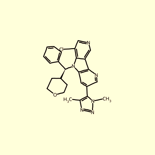 Cc1nnn(C)c1-c1cnc2c3cncc(Cl)c3n([C@H](c3ccccc3)C3CCOCC3)c2c1